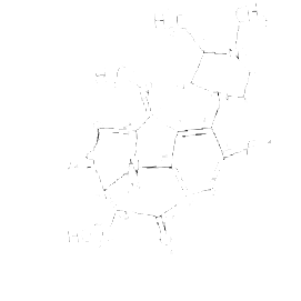 CN=c1c2c(N3CCN(C)C(C)C3)c(F)cc3c(=O)c(C(=O)O)c4scc1n4c32